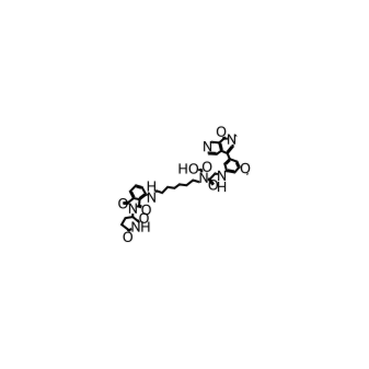 COc1cc(NCC(=O)N(CCCCCCCCNc2cccc3c2C(=O)N(C2CCC(=O)NC2=O)C3=O)C(=O)O)cc(-c2cn(C)c(=O)c3cnccc23)c1